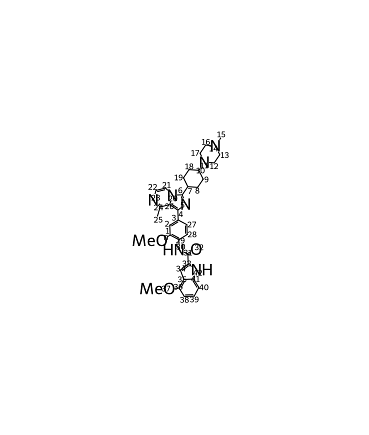 COc1cc(-c2nc(C3CCC(N4CCN(C)CC4)CC3)n3ccnc(C)c23)ccc1NC(=O)c1cc2c(OC)cccc2[nH]1